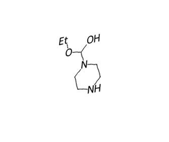 CCOC(O)N1CCNCC1